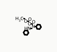 CCOC(=O)OC(=O)N(CNc1ccccc1)c1ccccc1